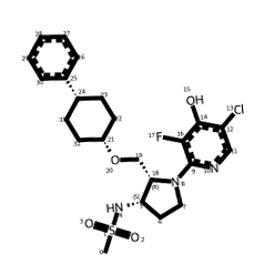 CS(=O)(=O)N[C@H]1CCN(c2ncc(Cl)c(O)c2F)[C@H]1CO[C@H]1CC[C@@H](c2ccccc2)CC1